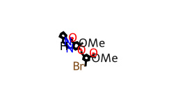 COC(=O)c1cc(CBr)cc(COc2cc3c(cc2OC)C(=O)N2c4ccccc4C[C@H]2C=N3)c1